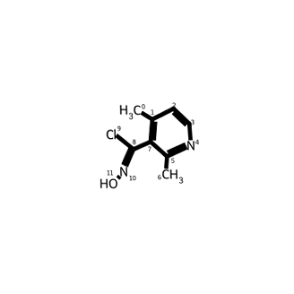 Cc1ccnc(C)c1C(Cl)=NO